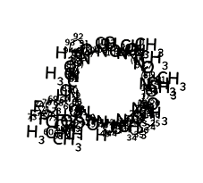 CC[C@H](C)[C@@H]1NC(=O)[C@H](CC(C)C)N(C)C(=O)C[C@@H](C(=O)N2CCCCC2)N(C)C(=O)[C@H](C2CCCCC2)N(C)C(=O)C2(CCCC2)NC(=O)[C@H](COCC(=O)NC(C)(C)C)N(C)C(=O)[C@H](CCc2ccc(C(F)(F)F)c(Cl)c2)NC(=O)CN(C)C(=O)[C@H](CC2CCCCC2)N(C)C(=O)CN(C)C(=O)CN(C)C1=O